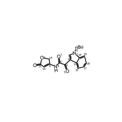 CCCCn1cc(C(=O)C(=O)NC2=CC(=O)OC2)c2ccccc21